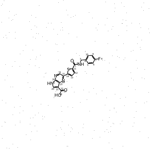 O=C(NCc1ccc(F)cc1)c1ccc(-c2cnc3[nH]cc(C(=O)O)c3n2)s1